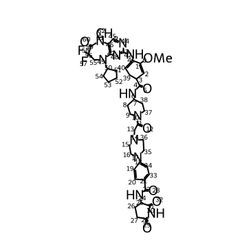 COC1=CC(C(=O)NC2CCN(C(=O)CN3CCN(c4ccc(C(=O)NC5CCC(=O)NC5=O)cc4)CC3)CC2)CC=C1Nc1ncc2c(n1)N(C1CCCC1)CC(F)(F)C(=O)N2C